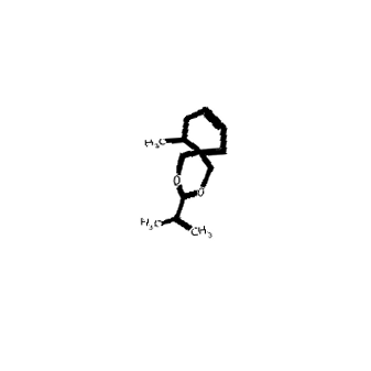 CC(C)C1OCC2(CC=CCC2C)CO1